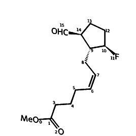 COC(=O)CCC/C=C\C[C@H]1[C@H](F)CC[C@@H]1C=O